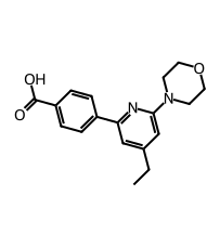 CCc1cc(-c2ccc(C(=O)O)cc2)nc(N2CCOCC2)c1